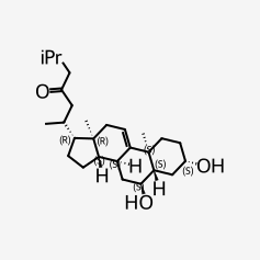 CC(C)CC(=O)CC(C)[C@H]1CC[C@H]2[C@@H]3C[C@H](O)[C@H]4C[C@@H](O)CC[C@]4(C)C3=CC[C@]12C